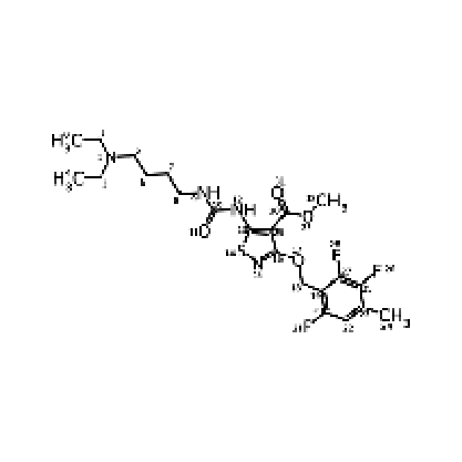 CCN(CC)CCCCNC(=O)Nc1snc(OCc2c(F)cc(C)c(F)c2F)c1C(=O)OC